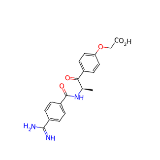 C[C@@H](NC(=O)c1ccc(C(=N)N)cc1)C(=O)c1ccc(OCC(=O)O)cc1